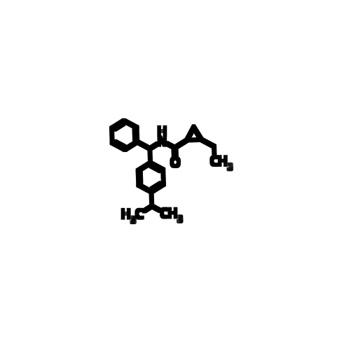 CCC1CC1C(=O)NC(c1ccccc1)c1ccc(C(C)C)cc1